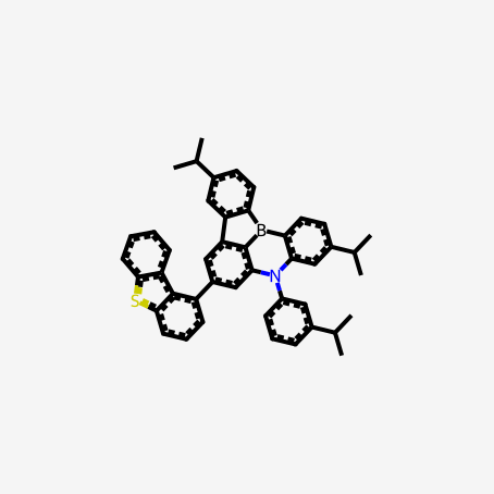 CC(C)c1cccc(N2c3cc(C(C)C)ccc3B3c4ccc(C(C)C)cc4-c4cc(-c5cccc6sc7ccccc7c56)cc2c43)c1